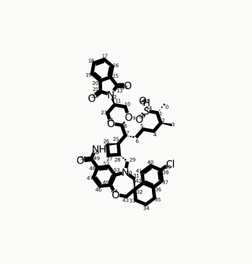 C[C@H]([C@@H](C)CCC[C@@H]([C@H]1OC[C@H](N2C(=O)c3ccccc3C2=O)CO1)[C@@H]1CC[C@H]1CN1C[C@@]2(CCCc3cc(Cl)ccc32)COc2ccc(C(N)=O)cc21)[SH](=O)=O